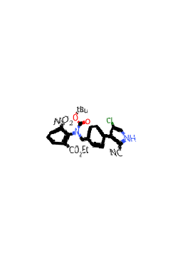 CCOC(=O)c1cccc([N+](=O)[O-])c1N(Cc1ccc(-c2c(Cl)c[nH]c2C#N)cc1)C(=O)OC(C)(C)C